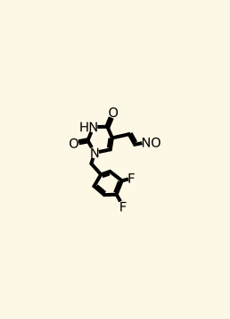 O=N/C=C/c1cn(Cc2ccc(F)c(F)c2)c(=O)[nH]c1=O